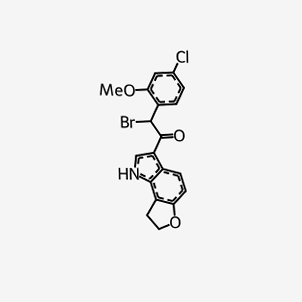 COc1cc(Cl)ccc1C(Br)C(=O)c1c[nH]c2c3c(ccc12)OCC3